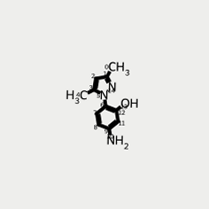 Cc1cc(C)n(-c2ccc(N)cc2O)n1